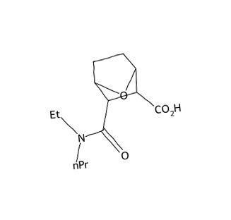 CCCN(CC)C(=O)C1C2CCC(O2)C1C(=O)O